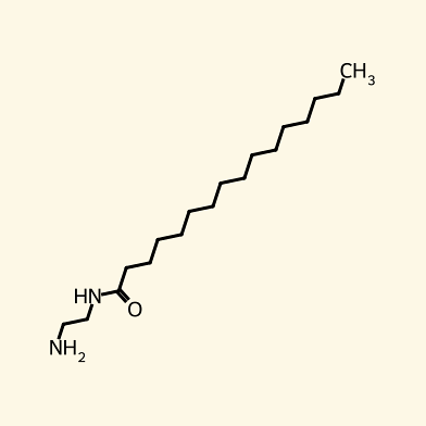 CCCCCCCCCCCCCCCC(=O)NCCN